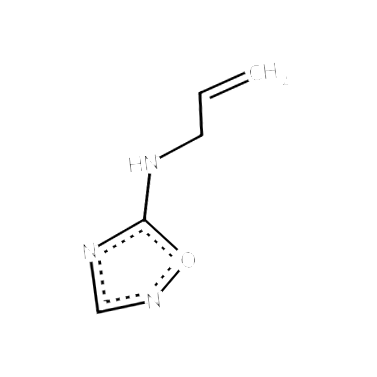 C=CCNc1ncno1